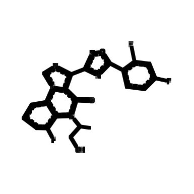 CC(CO)n1c(=O)c2c(-c3noc(-c4ccc(F)cc4F)n3)ncn2c2cccc(F)c21